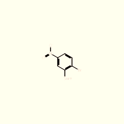 O=[N+]([O-])c1ccc(Br)[c]([SnH])c1